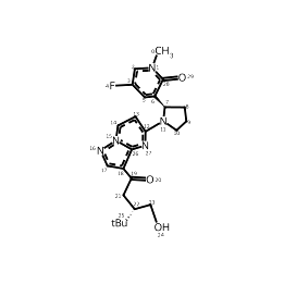 Cn1cc(F)cc([C@H]2CCCN2c2ccn3ncc(C(=O)C[C@H](CO)C(C)(C)C)c3n2)c1=O